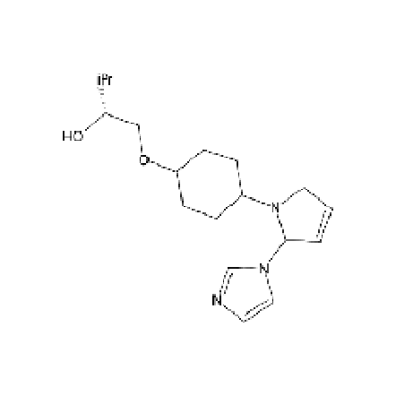 CC(C)[C@@H](O)COC1CCC(N2CC=CC2n2ccnc2)CC1